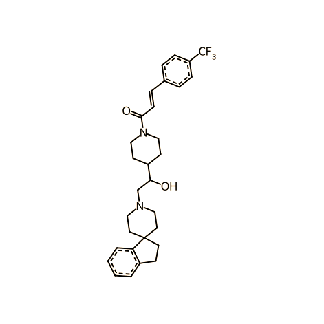 O=C(/C=C/c1ccc(C(F)(F)F)cc1)N1CCC(C(O)CN2CCC3(CCc4ccccc43)CC2)CC1